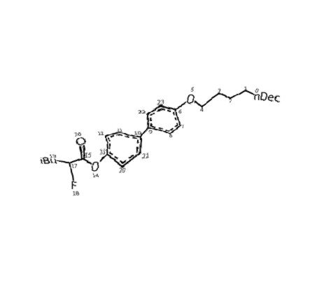 CCCCCCCCCCCCCCOc1ccc(-c2ccc(OC(=O)C(F)C(C)CC)cc2)cc1